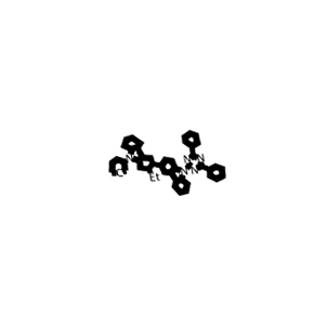 CCC1C=c2c(c3ccccc3n2-c2ccccc2)=CC1c1ccc2c(c1)c1ccccc1n2-c1nc(-c2ccccc2)nc(-c2ccccc2)n1